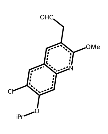 COc1nc2cc(OC(C)C)c(Cl)cc2cc1CC=O